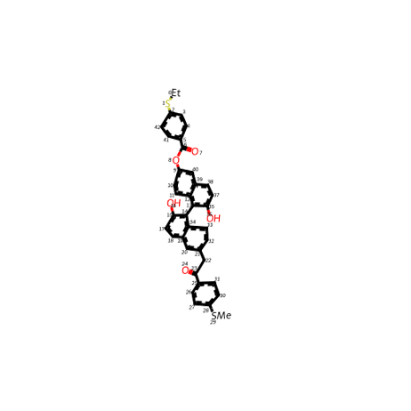 CCSc1ccc(C(=O)Oc2ccc3c(-c4c(O)ccc5cc(CC(=O)c6ccc(SC)cc6)ccc45)c(O)ccc3c2)cc1